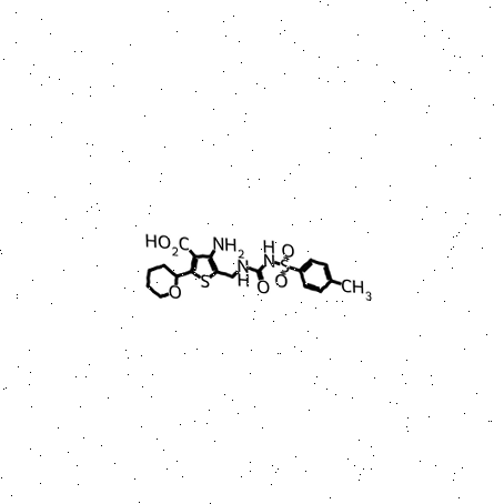 Cc1ccc(S(=O)(=O)NC(=O)NCc2sc(C3CCCCO3)c(C(=O)O)c2N)cc1